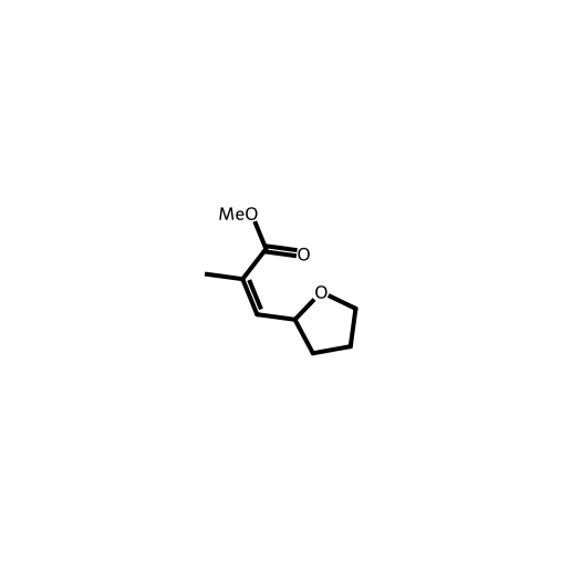 COC(=O)C(C)=CC1CCCO1